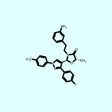 Cc1ccc(-n2cc([C@@H]3O[C@@H](C)C(=O)N3CCc3cccc(N)c3)c(-c3ccc(F)cc3)n2)cc1